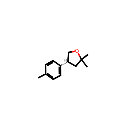 Cc1ccc([C@@H]2COC(C)(C)C2)cc1